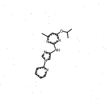 Cc1cc(OC(C)C)nc(Nc2cn(-c3ccccn3)cn2)n1